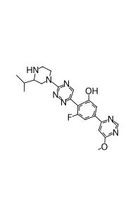 COc1cc(-c2cc(O)c(-c3cnc(N4CCNC(C(C)C)C4)nn3)c(F)c2)ncn1